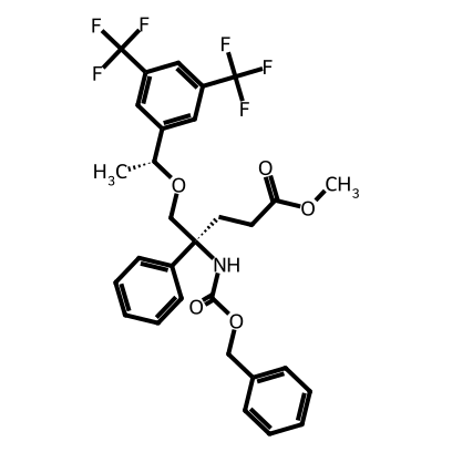 COC(=O)CC[C@](CO[C@H](C)c1cc(C(F)(F)F)cc(C(F)(F)F)c1)(NC(=O)OCc1ccccc1)c1ccccc1